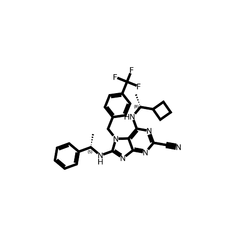 C[C@H](Nc1nc2nc(C#N)nc(N[C@H](C)C3CCC3)c2n1Cc1ccc(C(F)(F)F)cc1)c1ccccc1